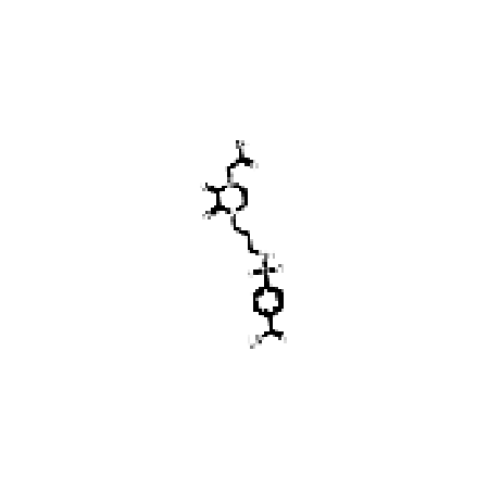 NC(=S)c1ccc(S(=O)(=O)NCCCN2CCN(CC(=O)O)C(=O)C2=O)cc1